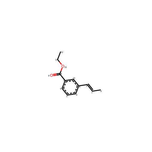 CC=Cc1cccc(C(=O)OCC)c1